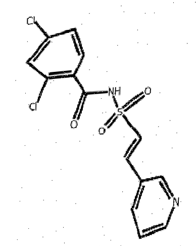 O=C(NS(=O)(=O)/C=C/c1cccnc1)c1ccc(Cl)cc1Cl